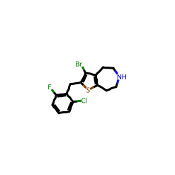 Fc1cccc(Cl)c1Cc1sc2c(c1Br)CCNCC2